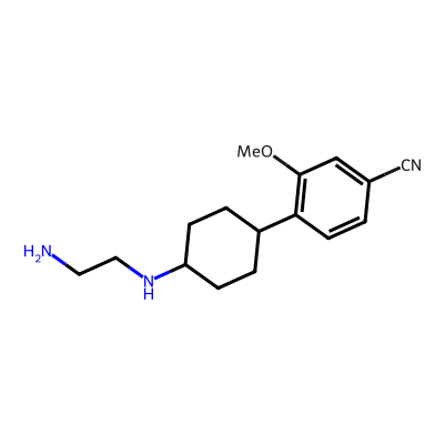 COc1cc(C#N)ccc1C1CCC(NCCN)CC1